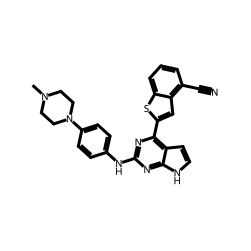 CN1CCN(c2ccc(Nc3nc(-c4cc5c(C#N)cccc5s4)c4cc[nH]c4n3)cc2)CC1